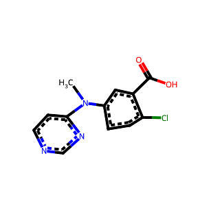 CN(c1ccc(Cl)c(C(=O)O)c1)c1ccncn1